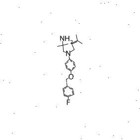 CC(C)=CCN(CC(C)(C)N)c1ccc(OCc2ccc(F)cc2)cc1